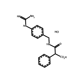 Cl.N=C(N)Nc1ccc(CNC(=O)C(C(=O)O)c2ccccc2)cc1